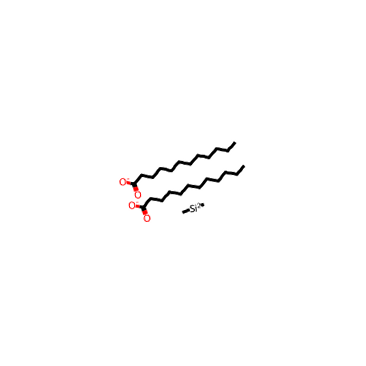 CCCCCCCCCCCC(=O)[O-].CCCCCCCCCCCC(=O)[O-].C[Si+2]C